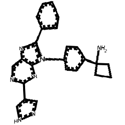 NC1(c2ccc(-n3c(-c4ccccc4)nc4cnc(-c5cn[nH]c5)nc43)cc2)CCC1